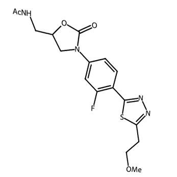 COCCc1nnc(-c2ccc(N3CC(CNC(C)=O)OC3=O)cc2F)s1